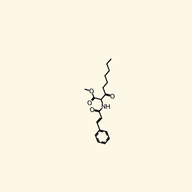 CCCCCCC(=O)C(NC(=O)C=Cc1ccccc1)C(=O)OC